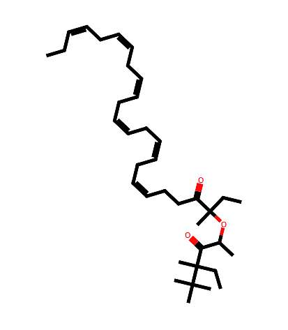 CC/C=C\C/C=C\C/C=C\C/C=C\C/C=C\C/C=C\CCC(=O)C(C)(CC)OC(C)C(=O)C(C)(CC)C(C)(C)C